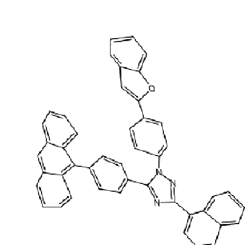 c1ccc2oc(-c3ccc(-n4nc(-c5cccc6ccccc56)nc4-c4ccc(-c5c6ccccc6cc6ccccc56)cc4)cc3)cc2c1